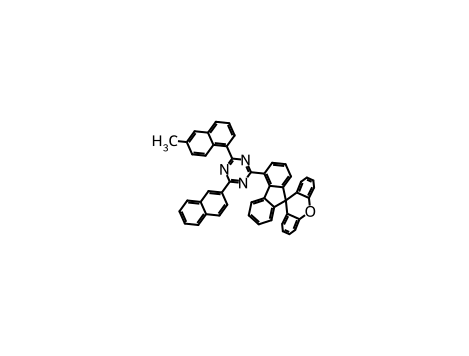 Cc1ccc2c(-c3nc(-c4ccc5ccccc5c4)nc(-c4cccc5c4-c4ccccc4C54c5ccccc5Oc5ccccc54)n3)cccc2c1